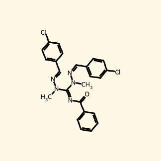 CN(N=Cc1ccc(Cl)cc1)C(=NC(=O)c1ccccc1)N(C)N=Cc1ccc(Cl)cc1